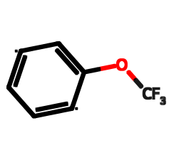 FC(F)(F)Oc1[c]cc[c]c1